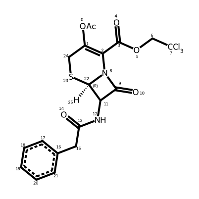 CC(=O)OC1=C(C(=O)OCC(Cl)(Cl)Cl)N2C(=O)C(NC(=O)Cc3ccccc3)[C@H]2SC1